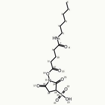 CCCCCCNC(=O)CCCC(=O)ON1C(=O)CC(S(=O)(=O)O)C1=O